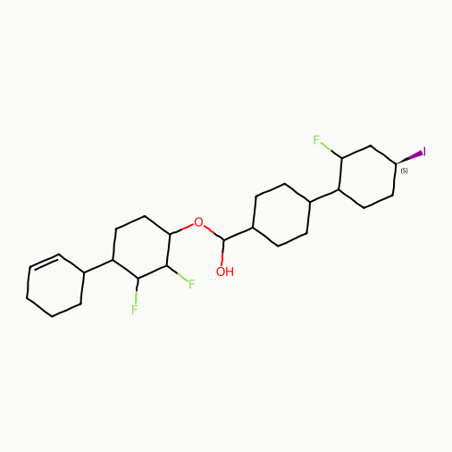 OC(OC1CCC(C2C=CCCC2)C(F)C1F)C1CCC(C2CC[C@H](I)CC2F)CC1